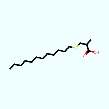 CCCCCCCCCCCCSCC(C)C(=O)O